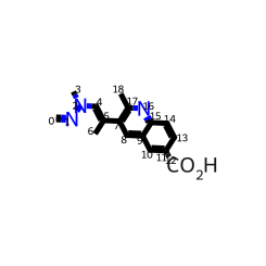 C=NN(C)/C=C(\C)c1cc2cc(C(=O)O)ccc2nc1C